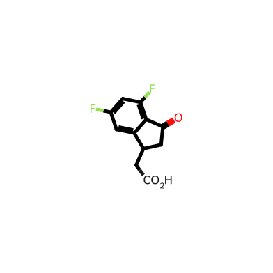 O=C(O)CC1CC(=O)c2c(F)cc(F)cc21